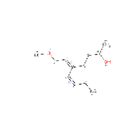 CCOC/C=C(\C=C/CN=O)CCC(C)O